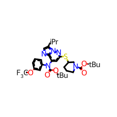 CC(C)c1cnc2c(N(C(=O)OC(C)(C)C)c3cccc(OC(F)(F)F)c3)cc(SC3CCCN(C(=O)OC(C)(C)C)C3)nn12